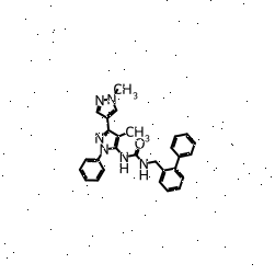 Cc1c(-c2cnn(C)c2)nn(-c2ccccc2)c1NC(=O)NCc1ccccc1-c1ccccc1